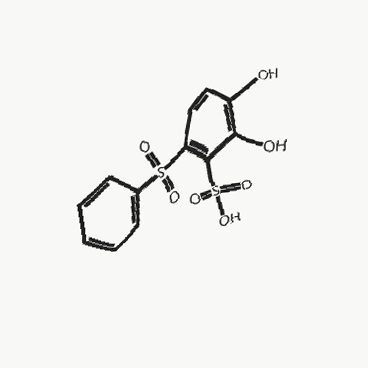 O=S(=O)(O)c1c(S(=O)(=O)c2ccccc2)ccc(O)c1O